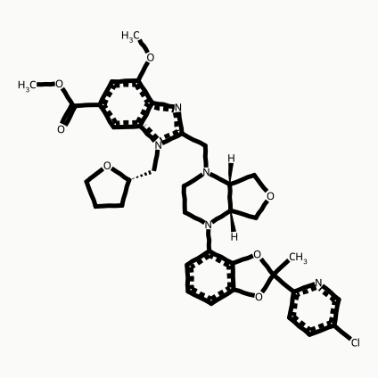 COC(=O)c1cc(OC)c2nc(CN3CCN(c4cccc5c4OC(C)(c4ccc(Cl)cn4)O5)[C@H]4COC[C@H]43)n(C[C@@H]3CCCO3)c2c1